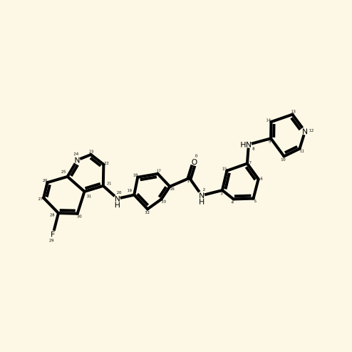 O=C(Nc1cccc(Nc2ccncc2)c1)c1ccc(Nc2ccnc3ccc(F)cc23)cc1